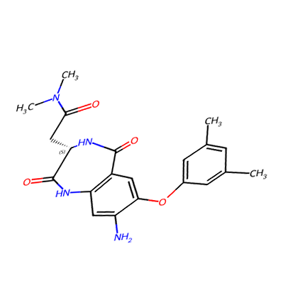 Cc1cc(C)cc(Oc2cc3c(cc2N)NC(=O)[C@H](CC(=O)N(C)C)NC3=O)c1